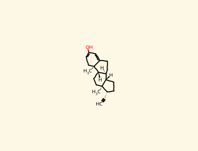 C#C[C@H]1CC[C@H]2[C@@H]3CCC4=CC(O)=CC[C@]4(C)[C@H]3CC[C@]12C